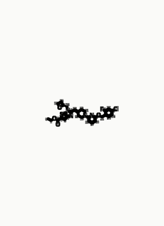 CCOC(=O)c1cc2nc(C=C3CCN(c4cccc(OCc5ccc(Cl)cc5F)n4)CC3)n(C[C@@H]3CCO3)c2s1